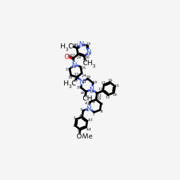 COc1ccc(CN2CCCC(C(c3ccccc3)N3CCN(C4(C)CCN(C(=O)c5c(C)ncnc5C)CC4)CC3C)C2)cc1